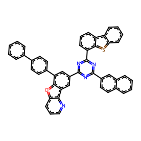 c1ccc(-c2ccc(-c3cc(-c4nc(-c5ccc6ccccc6c5)nc(-c5cccc6c5sc5ccccc56)n4)cc4c3oc3cccnc34)cc2)cc1